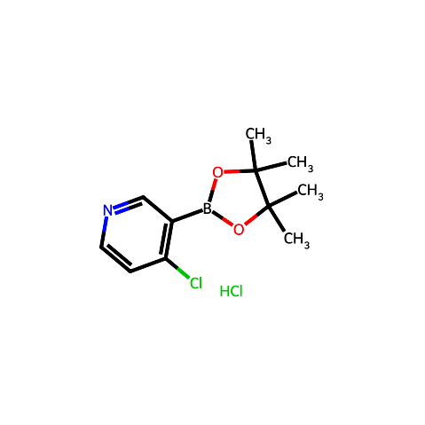 CC1(C)OB(c2cnccc2Cl)OC1(C)C.Cl